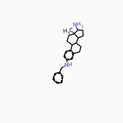 CC12CCC3c4ccc(NCc5ccccc5)cc4CCC3C1CCC2N